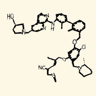 C=N/C=C(C#N)\C=C(/C)COc1cc(OCc2cccc(-c3cccc(Nc4nccc5cc(CN6CC[C@@H](O)C6)cnc45)c3C)c2C)c(Cl)cc1CN1CCCC[C@H]1C